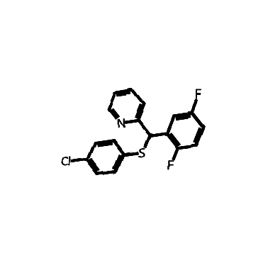 Fc1ccc(F)c(C(Sc2ccc(Cl)cc2)c2ccccn2)c1